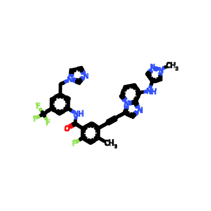 Cc1cc(F)c(C(=O)Nc2cc(Cn3ccnc3)cc(C(F)(F)F)c2)cc1C#Cc1cnc2c(Nc3cnn(C)c3)cccn12